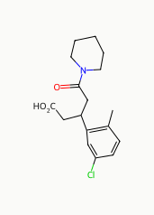 Cc1ccc(Cl)cc1C(CC(=O)O)CC(=O)N1CCCCC1